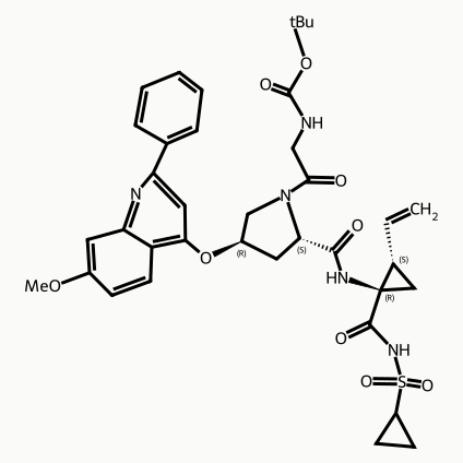 C=C[C@@H]1C[C@]1(NC(=O)[C@@H]1C[C@@H](Oc2cc(-c3ccccc3)nc3cc(OC)ccc23)CN1C(=O)CNC(=O)OC(C)(C)C)C(=O)NS(=O)(=O)C1CC1